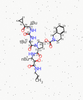 C=CCNC(=O)C(=O)C(CCCC)NC(=O)[C@@H]1C[C@@H](OC(=O)N2CCc3ccccc3C2)CN1C(=O)[C@@H](NC(=O)N[C@H](C(=O)C1CC1)C(C)(C)C)C(C)(C)C